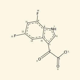 O=C(Cl)C(=O)c1c[nH]c2c(F)cc(F)cc12